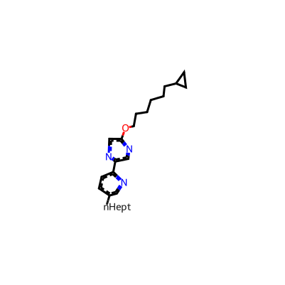 CCCCCCCc1ccc(-c2cnc(OCCCCCCC3CC3)cn2)nc1